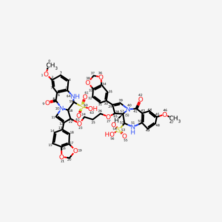 COc1ccc2c(c1)C(=O)N1C=C(c3ccc4c(c3)OCO4)C(OCCCOC3C(c4ccc5c(c4)OCO5)=CN4C(=O)c5cc(OC)ccc5NC(S(=O)(=O)O)[C@H]34)C1C(S(=O)(=O)O)N2